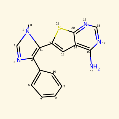 Cn1cnc(-c2ccccc2)c1-c1cc2c(N)ncnc2s1